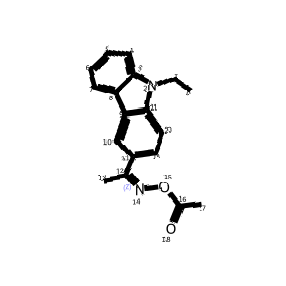 CCn1c2cc[c]cc2c2cc(/C(C)=N\OC(C)=O)ccc21